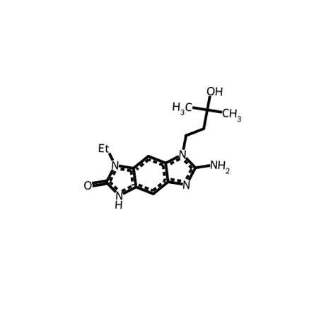 CCn1c(=O)[nH]c2cc3nc(N)n(CCC(C)(C)O)c3cc21